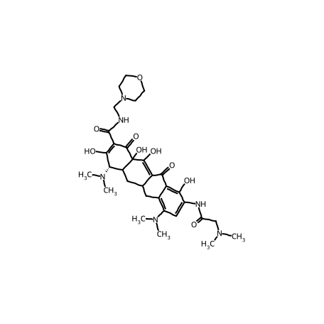 CN(C)CC(=O)Nc1cc(N(C)C)c2c(c1O)C(=O)C1=C(O)C3(O)C(=O)C(C(=O)NCN4CCOCC4)=C(O)[C@@H](N(C)C)C3CC1C2